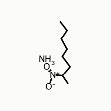 CCCCCCC(C)[N+](=O)[O-].N